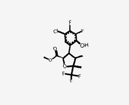 COC(=O)[C@@H]1OC(C)(C(F)(F)F)C(C)C1c1cc(Cl)c(F)c(F)c1O